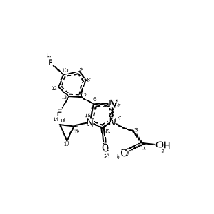 O=C(O)Cn1nc(-c2ccc(F)cc2F)n(C2CC2)c1=O